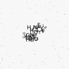 CCc1c(F)cc(OC[C@@H](NC(=O)OC(C)(C)C)C(=O)O)c(N)c1F